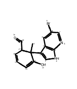 CC1(c2c[nH]c3ncc(Br)cc23)C(O)=CC=CC1C=O